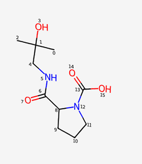 CC(C)(O)CNC(=O)C1CCCN1C(=O)O